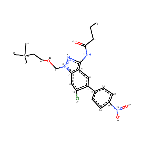 CCCC(=O)Nc1nn(COCC[Si](C)(C)C)c2cc(Cl)c(-c3ccc([N+](=O)[O-])cc3)cc12